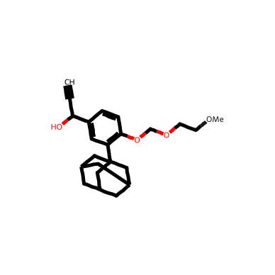 C#CC(O)c1ccc(OCOCCOC)c(C23CC4CC(CC(C4)C2)C3)c1